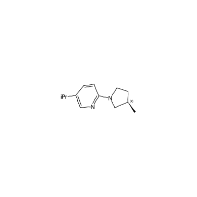 CC(C)c1ccc(N2CC[C@@H](C)C2)nc1